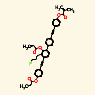 C=CC(=O)Oc1ccc(C#Cc2ccc(-c3ccc(C#Cc4ccc(OC(=O)C(=C)C)cc4)cc3)c(OC(=O)C=C)c2CCCF)cc1